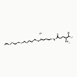 CCCCCCCCCCCCCCCCCCOC(=O)CC[C@H](N)C(=O)[O-].[K+]